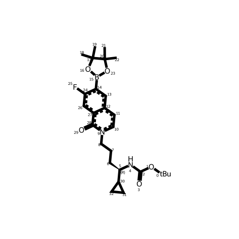 CC(C)(C)OC(=O)N[C@H](CCCn1ccc2cc(B3OC(C)(C)C(C)(C)O3)c(F)cc2c1=O)C1CC1